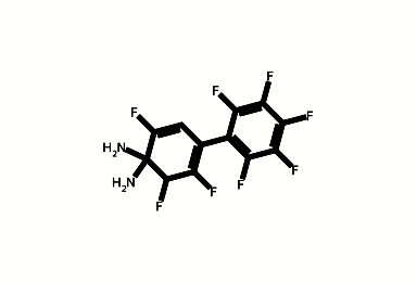 NC1(N)C(F)=CC(c2c(F)c(F)c(F)c(F)c2F)=C(F)C1F